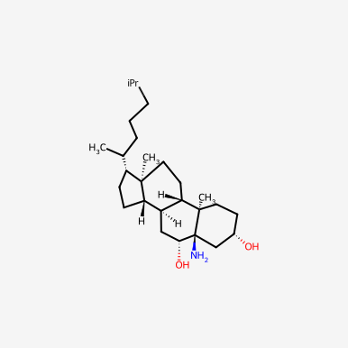 CC(C)CCCC(C)[C@H]1CC[C@H]2[C@@H]3C[C@@H](O)[C@@]4(N)C[C@@H](O)CC[C@]4(C)[C@H]3CC[C@]12C